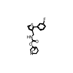 O=C(NCc1ccsc1-c1cccc(F)c1)OC1CN2CCC1CC2